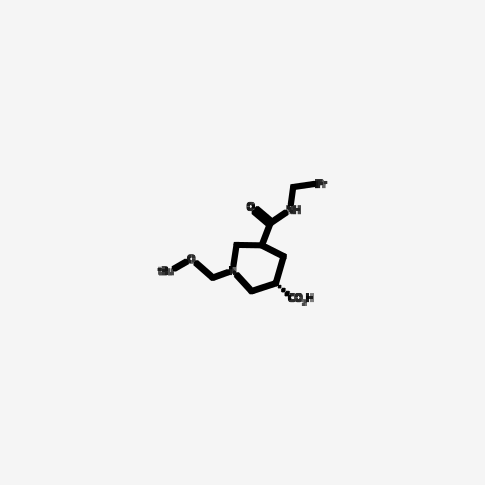 CC(C)CNC(=O)C1C[C@H](C(=O)O)CN(COC(C)(C)C)C1